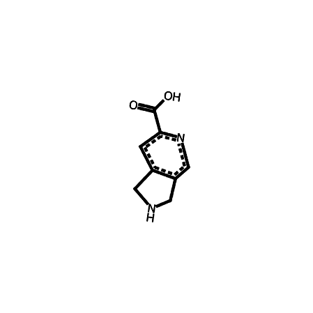 O=C(O)c1cc2c(cn1)CNC2